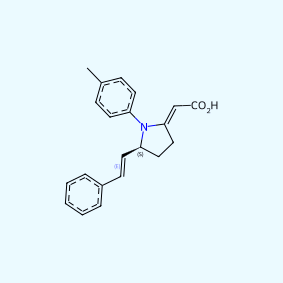 Cc1ccc(N2C(=CC(=O)O)CC[C@H]2/C=C/c2ccccc2)cc1